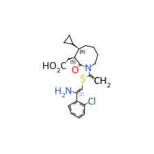 C=C(S/C=C(\N)c1ccccc1Cl)N1CCCC[C@H](C2CC2)[C@H](CC(=O)O)C1=O